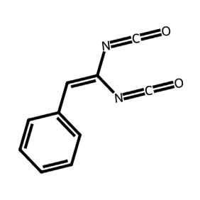 O=C=NC(=Cc1ccccc1)N=C=O